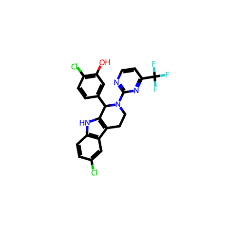 Oc1cc(C2c3[nH]c4ccc(Cl)cc4c3CCN2c2nccc(C(F)(F)F)n2)ccc1Cl